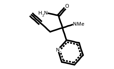 C#CCC(NC)(C(N)=O)c1ccccn1